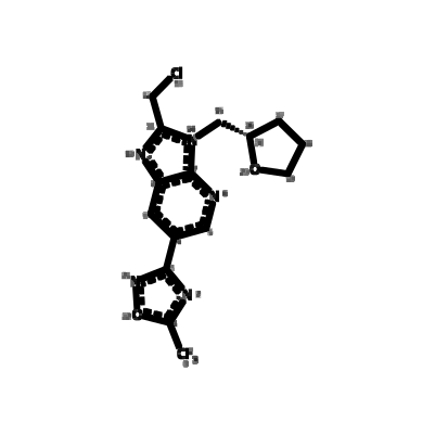 FC(F)(F)c1nc(-c2cnc3c(c2)nc(CCl)n3C[C@@H]2CCCO2)no1